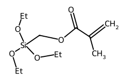 C=C(C)C(=O)OC[Si](OCC)(OCC)OCC